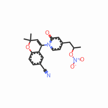 CC(Cc1ccn(C2=CC(C)(C)Oc3ccc(C#N)cc32)c(=O)c1)O[N+](=O)[O-]